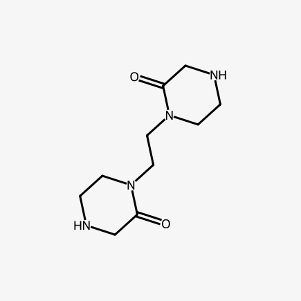 O=C1CNCCN1CCN1CCNCC1=O